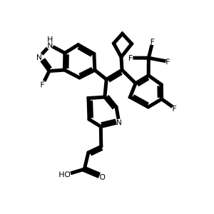 O=C(O)C=Cc1ccc(/C(=C(\c2ccc(F)cc2C(F)(F)F)C2CCC2)c2ccc3[nH]nc(F)c3c2)cn1